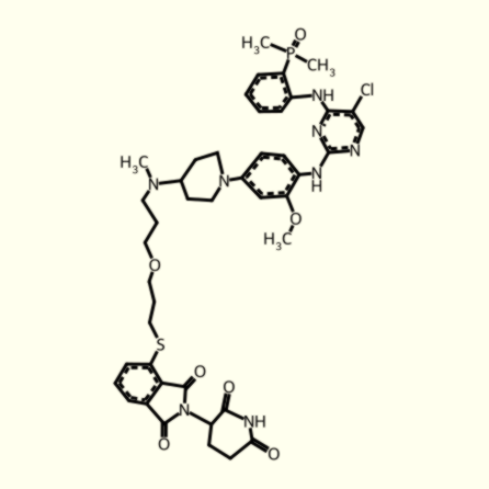 COc1cc(N2CCC(N(C)CCCOCCCSc3cccc4c3C(=O)N(C3CCC(=O)NC3=O)C4=O)CC2)ccc1Nc1ncc(Cl)c(Nc2ccccc2P(C)(C)=O)n1